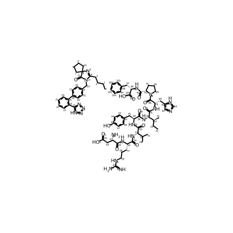 CCCCC1=NC2(CCCC2)C(=O)N1Cc1ccc(-c2ccccc2-c2nnn[nH]2)cc1.CC[C@H](C)[C@H](NC(=O)[C@H](Cc1ccc(O)cc1)NC(=O)[C@@H](NC(=O)[C@H](CCCNC(=N)N)NC(=O)[C@@H](N)CC(=O)O)C(C)C)C(=O)N[C@@H](Cc1cnc[nH]1)C(=O)N1CCC[C@H]1C(=O)N[C@@H](Cc1ccccc1)C(=O)O